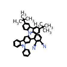 CC(C)(C)c1ccc2c(c1)c1cc(C(C)(C)C)ccc1n2-c1cc2c3ccccc3n(-c3ccccc3)c2cc1-c1cccc(C#N)c1C#N